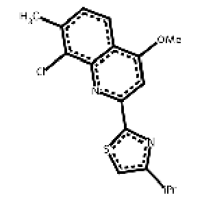 COc1cc(-c2nc(C(C)C)cs2)nc2c(Cl)c(C)ccc12